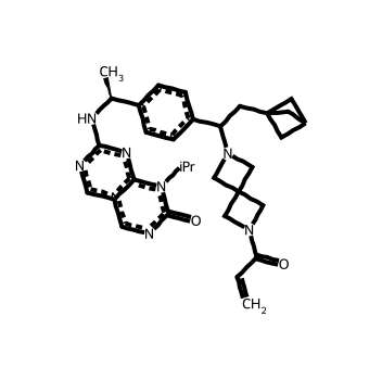 C=CC(=O)N1CC2(C1)CN(C(CC13CC(C1)C3)c1ccc([C@H](C)Nc3ncc4cnc(=O)n(C(C)C)c4n3)cc1)C2